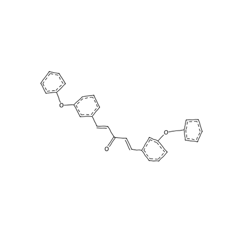 O=C(C=Cc1cccc(Oc2ccccc2)c1)C=Cc1cccc(Oc2ccccc2)c1